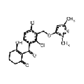 Cc1cc(OCc2c(Cl)ccc(C(=O)C3=C(O)CCCC3=O)c2Cl)n(C)n1